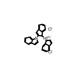 C1=C[CH]([Hf+2][CH]2C(n3ccc4ccccc43)=Cc3ccccc32)c2ccccc21.[Cl-].[Cl-]